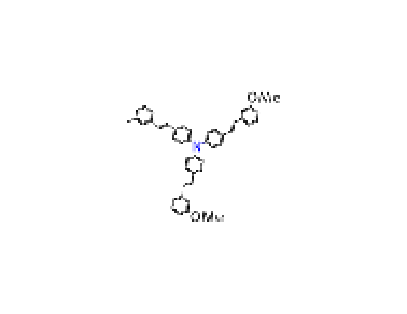 COc1cccc(/C=C/c2ccc(N(c3ccc(/C=C/c4cccc(C)c4)cc3)c3ccc(/C=C/c4cccc(OC)c4)cc3)cc2)c1